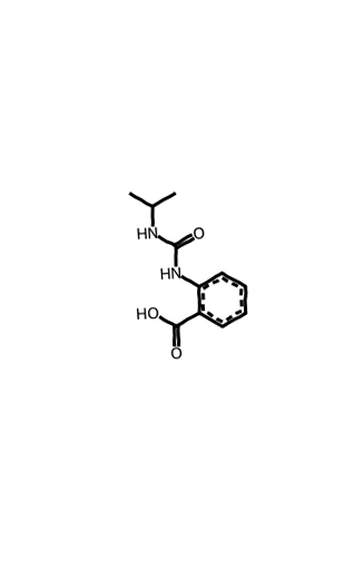 CC(C)NC(=O)Nc1ccccc1C(=O)O